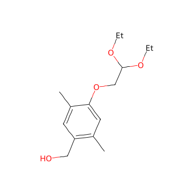 CCOC(COc1cc(C)c(CO)cc1C)OCC